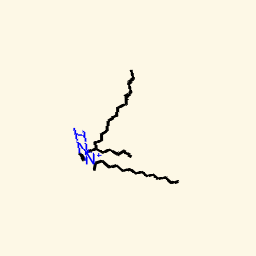 CCCCCCCCCCCCCC(CCCCC)c1[nH]cc[n+]1C(C)CCCCCCCCCCCCC